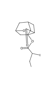 CCC(I)C(=O)OC12CC3CC(C1)OC(=O)C2C3